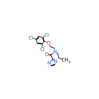 CCCN(CCOc1c(Cl)cc(Cl)cc1Cl)C(=O)C1=NC=C[N]1